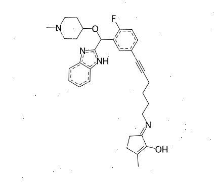 CC1=C(O)/C(=N/CCCCC#Cc2ccc(F)c(C(OC3CCN(C)CC3)c3nc4ccccc4[nH]3)c2)CC1